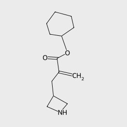 C=C(CC1CNC1)C(=O)OC1CCCCC1